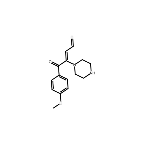 COc1ccc(C(=O)C(=CC=O)N2CCNCC2)cc1